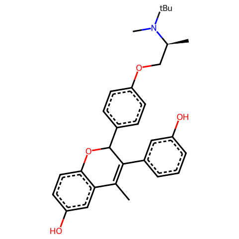 CC1=C(c2cccc(O)c2)C(c2ccc(OC[C@H](C)N(C)C(C)(C)C)cc2)Oc2ccc(O)cc21